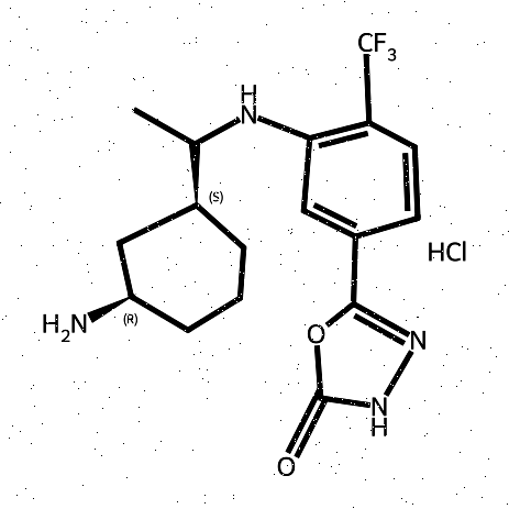 CC(Nc1cc(-c2n[nH]c(=O)o2)ccc1C(F)(F)F)[C@H]1CCC[C@@H](N)C1.Cl